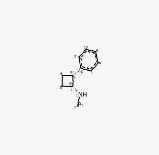 CC(C)N[C@@H]1CC[C@@H]1c1ccccc1